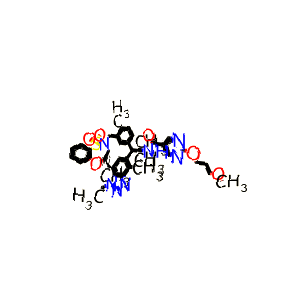 CC[C@@H]1CN(Cc2cc(C(c3ccc4c(nnn4CC)c3C)C(C)(C)NC(=O)c3cnc(OCCCOC)nc3)ccc2C)S(=O)(=O)c2ccccc2O1